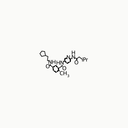 Cc1ccc(C(=O)NCCC2CCCC2)cc1C(=O)Nc1ccc(NC(=O)CC(C)C)nc1